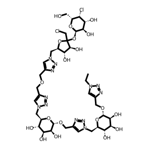 CCn1cc(CO[C@H]2O[C@H](Cn3cc(CO[C@H]4O[C@H](Cn5cc(COCc6cn(C[C@H]7OC(CCl)(O[C@H]8O[C@H](CO)[C@H](Cl)[C@H](O)[C@H]8O)[C@@H](O)[C@@H]7O)nn6)nn5)[C@@H](O)[C@H](O)[C@@H]4O)nn3)[C@@H](O)[C@H](O)[C@@H]2O)nn1